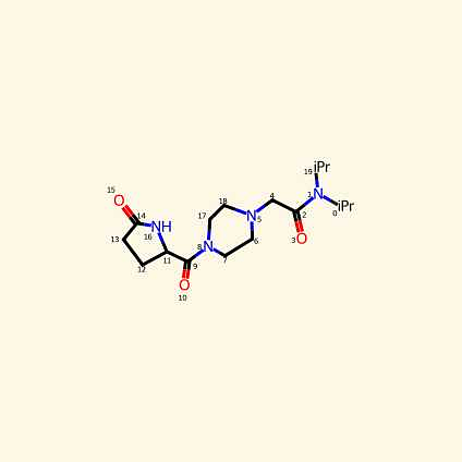 CC(C)N(C(=O)CN1CCN(C(=O)C2CCC(=O)N2)CC1)C(C)C